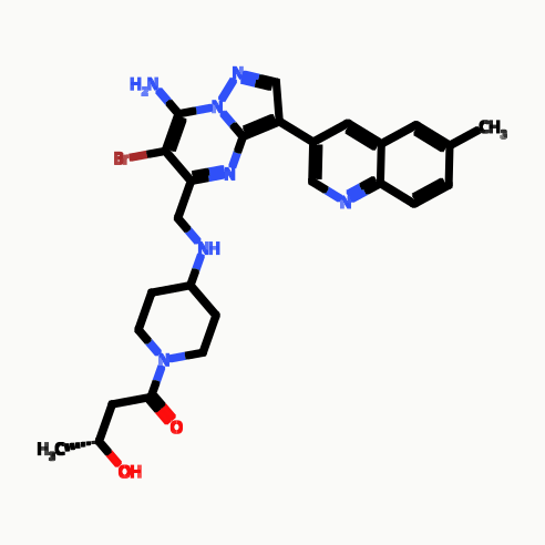 Cc1ccc2ncc(-c3cnn4c(N)c(Br)c(CNC5CCN(C(=O)C[C@@H](C)O)CC5)nc34)cc2c1